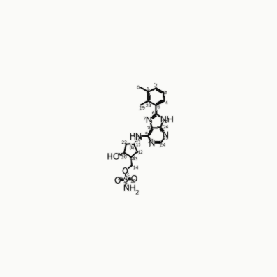 Cc1cccc(-c2nc3c(N[C@@H]4C[C@@H](COS(N)(=O)=O)[C@@H](O)C4)ncnc3[nH]2)c1C